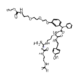 CCC(=O)NCCNC(=O)/N=C(/N)NCCC[C@@H](NC(=O)C(c1ccccc1)c1cccc(OCCOCCOCCNC(=O)OC(C)(C)C)c1)C(=O)NCc1ccc(O)cc1